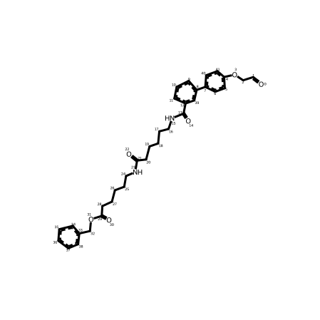 O=CCOc1ccc(-c2cccc(C(=O)NCCCCCC(=O)NCCCCCC(=O)OCc3ccccc3)c2)cc1